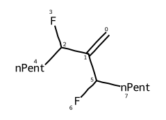 C=C(C(F)CCCCC)C(F)CCCCC